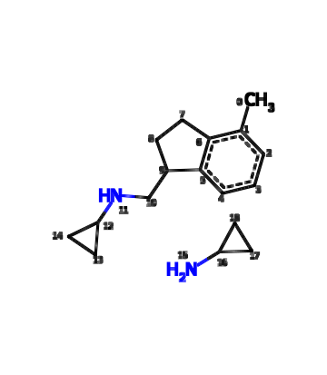 Cc1cccc2c1CCC2CNC1CC1.NC1CC1